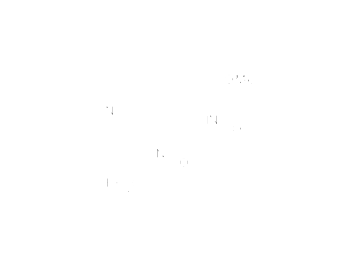 COc1ccccc1CNC(=O)c1ccccc1-c1ccccc1C(=O)N(CCC(=O)O)CCc1ccncc1